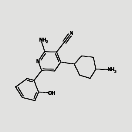 N#Cc1c(C2CCC(N)CC2)cc(-c2ccccc2O)nc1N